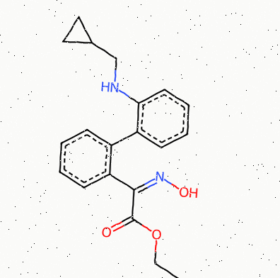 CCOC(=O)C(=NO)c1ccccc1-c1ccccc1NCC1CC1